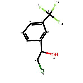 OC(CCl)c1cccc(C(F)(F)F)c1